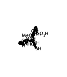 COc1cc2c(cc1OCc1cc(COc3cc4c(cc3OC)C(=O)N3c5ccccc5C[C@H]3CN4)cc(NC(=O)CCC(C)(C)S)c1)NC(S(=O)(=O)O)C1Cc3ccccc3N1C2=O